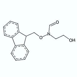 O=CN(CCO)OCC1c2ccccc2-c2ccccc21